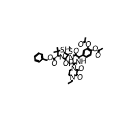 CCN1CCN(C(=O)NC(C(=O)N[C@]2(SC)C(=O)N3[C@@H](C(=O)OCc4ccccc4)C(C)(C)S[C@@H]32)c2ccc(OC(C)=O)c(OC(C)=O)c2)C(=O)C1=O